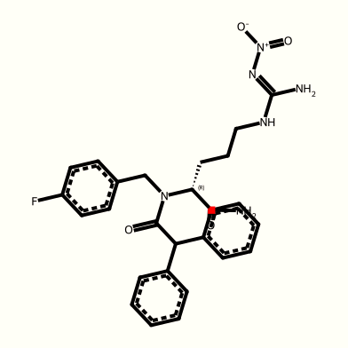 NC(=O)[C@@H](CCCNC(N)=N[N+](=O)[O-])N(Cc1ccc(F)cc1)C(=O)C(c1ccccc1)c1ccccc1